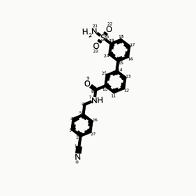 N#Cc1ccc(CNC(=O)c2cccc(-c3cccc(S(N)(=O)=O)c3)c2)cc1